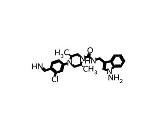 C[C@@H]1CN(c2ccc(C=N)c(Cl)c2)[C@@H](C)CN1C(=O)NCc1cn(N)c2ccccc12